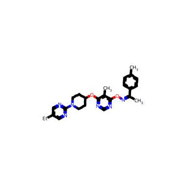 CCc1cnc(N2CCC(Oc3ncnc(ON=C(C)c4ccc(C)cc4)c3C)CC2)nc1